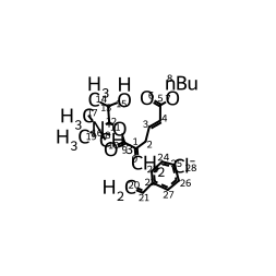 C=C(CC=CC(=O)OCCCC)C(=O)OC(C(C)O)[N+](C)(C)C.C=Cc1ccccc1.[Cl-]